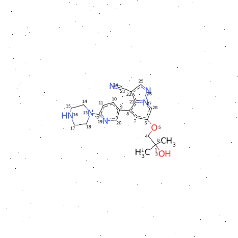 CC(C)(O)COc1cc(-c2ccc(N3CCNCC3)nc2)c2c(C#N)cnn2c1